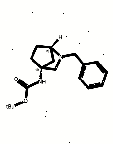 CC(C)(C)OC(=O)N[C@@]12CC[C@@H](C1)N(Cc1ccccc1)C2